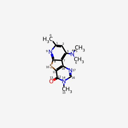 Cc1cc(N(C)C)c2c(n1)sc1c(=O)n(C)cnc12